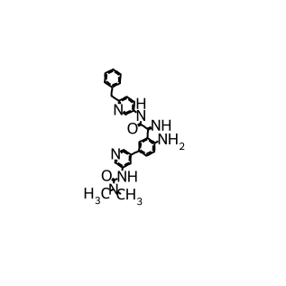 CN(C)C(=O)Nc1cncc(-c2ccc(N)c(C(=N)C(=O)Nc3ccc(Cc4ccccc4)nc3)c2)c1